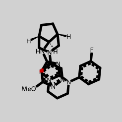 COc1cc(N2C[C@H]3CC[C@@H](C2)[C@@H]3Nc2nc3n(n2)CCCN3c2cccc(F)c2)cnn1